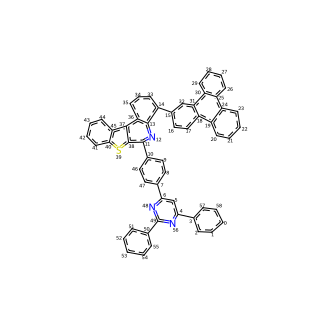 c1ccc(-c2cc(-c3ccc(-c4nc5c(-c6ccc7c8ccccc8c8ccccc8c7c6)cccc5c5c4sc4ccccc45)cc3)nc(-c3ccccc3)n2)cc1